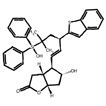 CC(C)(C[C@H](/C=C/[C@@H]1[C@H]2CC(=O)O[C@H]2C[C@H]1O)c1cc2ccccc2s1)[Si](O)(c1ccccc1)c1ccccc1